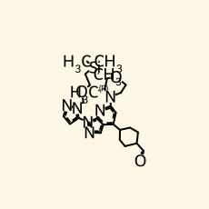 C[C@@H]1COCCN1c1cc(C2CCC(C=O)CC2)c2cnn(-c3ccnn3COCC[Si](C)(C)C)c2n1